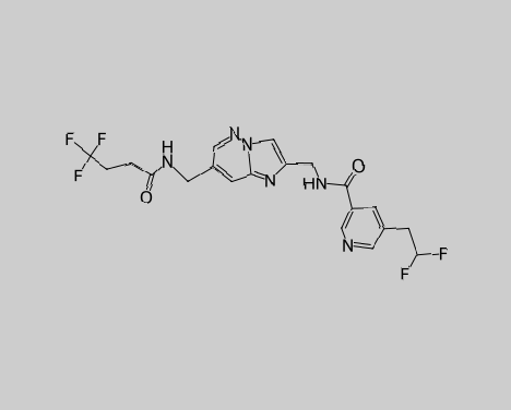 O=C(CCC(F)(F)F)NCc1cnn2cc(CNC(=O)c3cncc(CC(F)F)c3)nc2c1